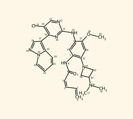 C=C/C=C\C(=O)Nc1cc(Nc2ncc(Cl)c(-c3cnn4ccccc34)n2)c(OC)cc1N1CC(N(C)C)C1